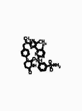 Cc1nc(N(C)Cc2ccc(N3CCC(=O)NC3=O)cc2)sc1-c1nc(Nc2cccc(S(N)(=O)=O)c2)ncc1F